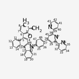 C=Cc1oc2c(c1/C=C\C)c1ccccc1c1c3ccccc3n(-c3ccc(-c4cc(-c5ccccn5)nc(-c5ccccn5)c4)cc3)c21